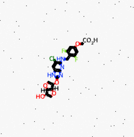 O=C(O)COc1cc(F)c(CNc2nc3nc(O[C@@H]4CO[C@H]5[C@@H]4OC[C@H]5O)[nH]c3cc2Cl)c(F)c1